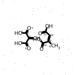 C=C(C(=O)O)C(=O)O.CC(=CC(=O)O)C(=O)O